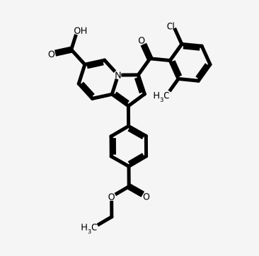 CCOC(=O)c1ccc(-c2cc(C(=O)c3c(C)cccc3Cl)n3cc(C(=O)O)ccc23)cc1